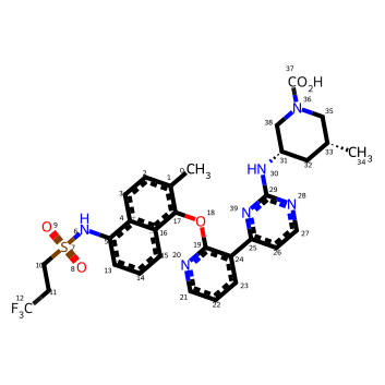 Cc1ccc2c(NS(=O)(=O)CCC(F)(F)F)cccc2c1Oc1ncccc1-c1ccnc(N[C@H]2C[C@@H](C)CN(C(=O)O)C2)n1